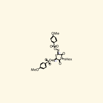 CCCCCCN1C(=O)/C(=N/OS(=O)(=O)c2ccc(OC)cc2)S/C(=N\OS(=O)(=O)c2ccc(OC)cc2)C1=O